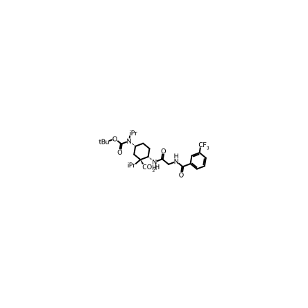 CC(C)N(C(=O)OC(C)(C)C)[C@@H]1CC[C@H](NC(=O)CNC(=O)c2cccc(C(F)(F)F)c2)[C@](C(=O)O)(C(C)C)C1